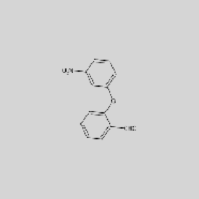 O=Cc1ccccc1Oc1cccc([N+](=O)[O-])c1